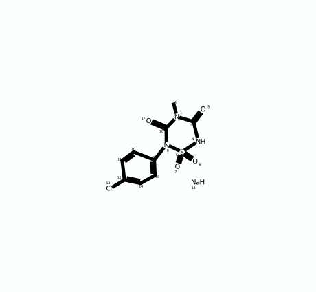 CN1C(=O)NS(=O)(=O)N(c2ccc(Cl)cc2)C1=O.[NaH]